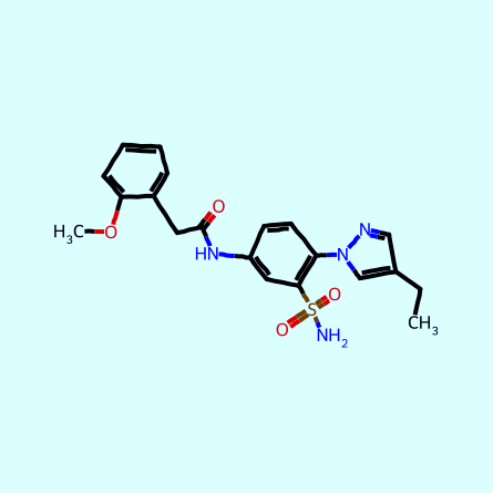 CCc1cnn(-c2ccc(NC(=O)Cc3ccccc3OC)cc2S(N)(=O)=O)c1